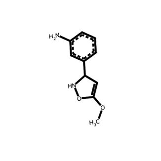 COC1=CC(c2cccc(N)c2)NO1